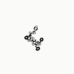 CC(NC(=O)[C@H](Cc1ccccc1)NC(=O)Cc1ccccc1)C(=O)C(=O)N[C@@H](Cc1ccccc1)C(=O)NC(C)(C)C(=O)NCCN1CCOCC1